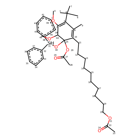 COC1=C(C(C)(C)C)C(C)=C(CCCCCCCCCCOC(C)=O)C(OC(C)=O)(O[SiH](c2ccccc2)c2ccccc2)C1OC